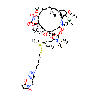 COc1cc2cc(c1Cl)N(C)C(=O)C[C@H](OC(=O)[C@H](C)N(C)C(=O)CCC(C)(C)SSCCCCCCn1cc(CN3C(=O)C=CC3=O)nn1)[C@]1(C)O[C@H]1[C@H](C)[C@@H]1C[C@@](O)(NC(=O)O1)[C@H](OC)/C=C/C=C(\C)C2